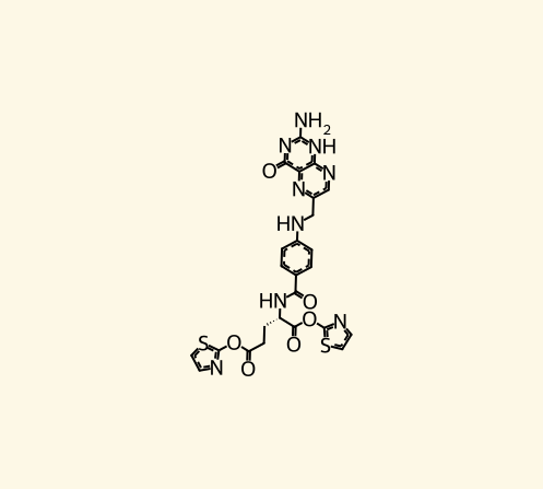 Nc1nc(=O)c2nc(CNc3ccc(C(=O)N[C@@H](CCC(=O)Oc4nccs4)C(=O)Oc4nccs4)cc3)cnc2[nH]1